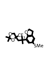 CSc1cc2c(c(C(C)(C)CC3(C(F)(F)F)COC(C)(C)O3)c1)OCC2